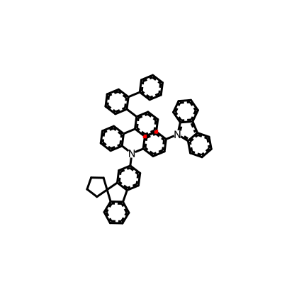 c1ccc(-c2ccccc2-c2ccccc2-c2ccccc2N(c2ccc(-n3c4ccccc4c4ccccc43)cc2)c2ccc3c(c2)C2(CCCC2)c2ccccc2-3)cc1